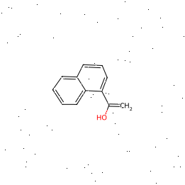 C=C(O)c1cccc2ccccc12